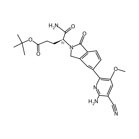 COc1cc(C#N)c(N)nc1-c1ccc2c(c1)CN([C@@H](CCC(=O)OC(C)(C)C)C(N)=O)C2=O